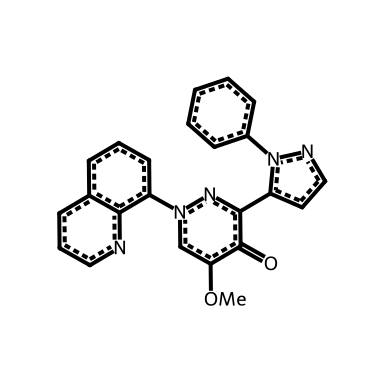 COc1cn(-c2cccc3cccnc23)nc(-c2ccnn2-c2ccccc2)c1=O